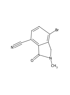 CN1Cc2c(Br)ccc(C#N)c2C1=O